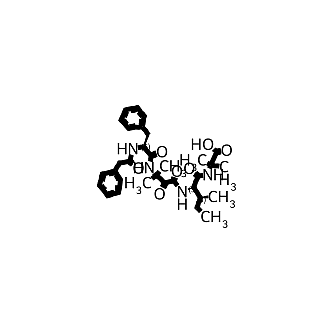 CC[C@H](C)[C@H](NC(=O)C(=O)C(C)(C)NC(=O)[C@H](Cc1ccccc1)NC(=O)Cc1ccccc1)C(=O)NC(C)(C)C(=O)O